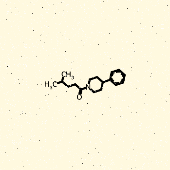 CC(C)CCC(=O)N1CCC(c2ccccc2)CC1